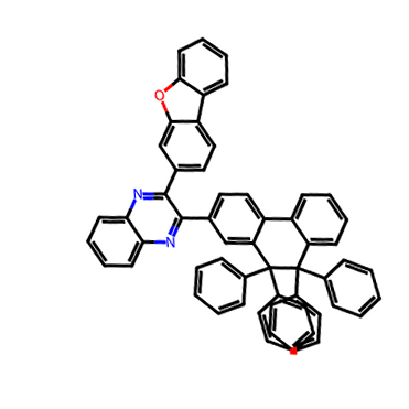 c1ccc(C2(c3ccccc3)c3ccccc3-c3ccc(-c4nc5ccccc5nc4-c4ccc5c(c4)oc4ccccc45)cc3C2(c2ccccc2)c2ccccc2)cc1